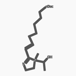 CCCCCCCCCCCCCCCC=CC1=NCC[N+]1(C)C(C)O